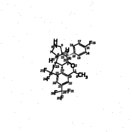 CC(O[C@H]1CC[C@H]2CNC[C@H]2[C@@H]1c1ccc(F)cc1)c1cc(C(F)(F)F)cc(C(F)(F)F)c1